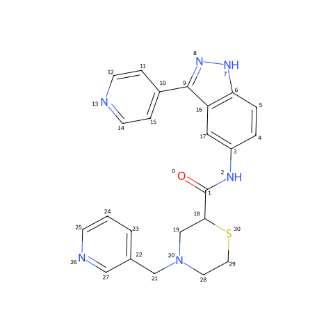 O=C(Nc1ccc2[nH]nc(-c3ccncc3)c2c1)C1CN(Cc2cccnc2)CCS1